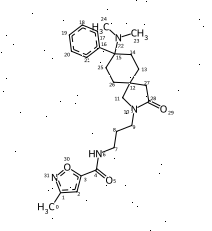 Cc1cc(C(=O)NCCCN2CC3(CCC(c4ccccc4)(N(C)C)CC3)CC2=O)on1